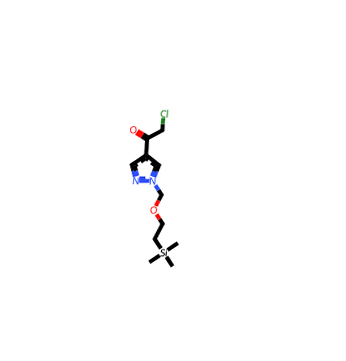 C[Si](C)(C)CCOCn1cc(C(=O)CCl)cn1